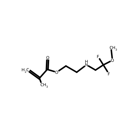 C=C(C)C(=O)OCCNCC(F)(F)OC